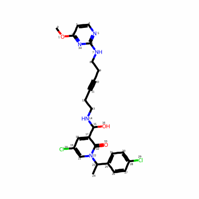 COc1ccnc(NCCC#CCCNC(O)c2cc(Cl)cn(C(C)c3ccc(Cl)cc3)c2=O)n1